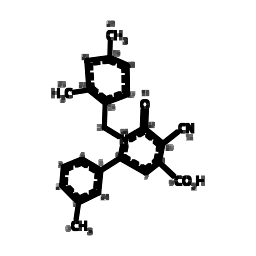 Cc1cccc(-c2cc(C(=O)O)c(C#N)c(=O)n2Cc2ccc(C)cc2C)c1